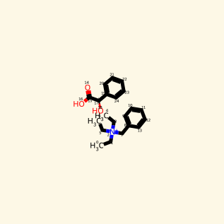 CC[N+](CC)(CC)Cc1ccccc1.O=C(O)[C@H](O)c1ccccc1